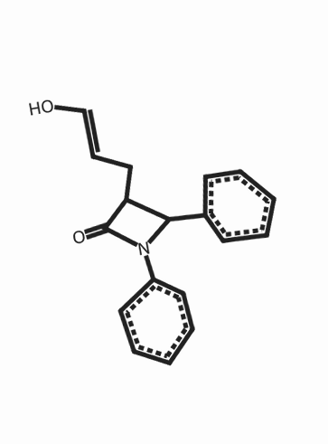 O=C1C(CC=CO)C(c2ccccc2)N1c1ccccc1